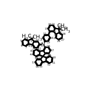 CC1(C)c2ccccc2-c2ccc(N(c3ccc(-c4cccc5c4-c4ccccc4C5(C)C)cc3)c3cccc4c3-c3ccccc3C43c4ccccc4-c4ccccc43)cc21